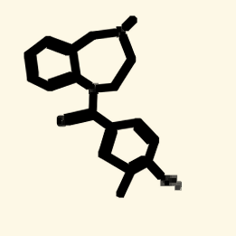 Cc1cc(C(=O)N2CCN(C)Cc3ccccc32)ccc1N